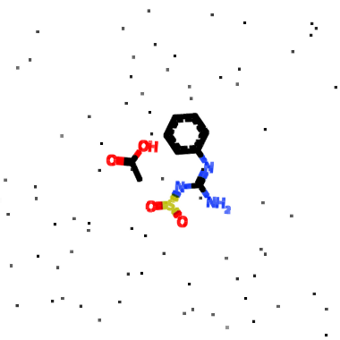 CC(=O)O.NC(=Nc1ccccc1)N=S(=O)=O